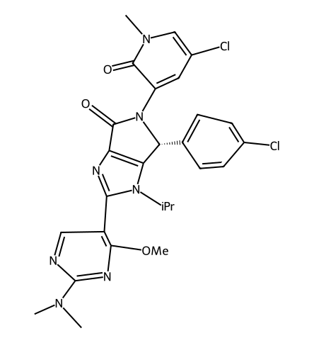 COc1nc(N(C)C)ncc1-c1nc2c(n1C(C)C)[C@@H](c1ccc(Cl)cc1)N(c1cc(Cl)cn(C)c1=O)C2=O